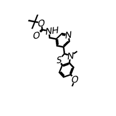 COc1ccc2c(c1)N(C)C(c1cncc(CNC(=O)OC(C)(C)C)c1)S2